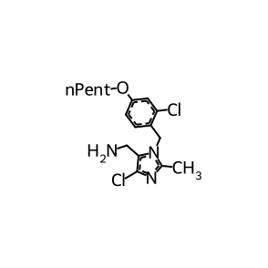 CCCCCOc1ccc(Cn2c(C)nc(Cl)c2CN)c(Cl)c1